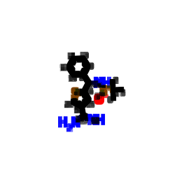 CC(C)(C)[S@+]([O-])N[C@@H](c1ccccc1)c1cc(C(=N)N)cs1